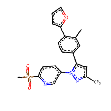 Cc1cc(-c2cc(C(F)(F)F)nn2-c2ccc(S(C)(=O)=O)nc2)ccc1-c1ccco1